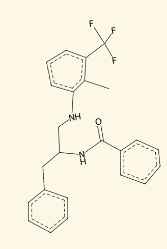 Cc1c(NCC(Cc2ccccc2)NC(=O)c2ccccc2)cccc1C(F)(F)F